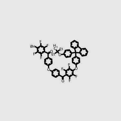 CCC(C)c1c(F)c(F)c(C(=O)c2ccc(Oc3ccc(C(=O)c4c(F)c(F)c(Oc5ccc(C6(c7ccc(OC(C)(CC)CC)cc7)c7ccccc7-c7ccccc76)cc5)c(F)c4F)cc3)cc2)c(F)c1F